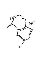 CC1NCCc2ccc(F)cc21.Cl